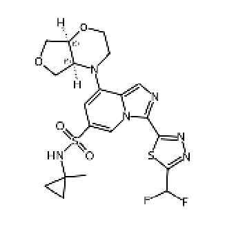 CC1(NS(=O)(=O)c2cc(N3CCO[C@@H]4COC[C@@H]43)c3cnc(-c4nnc(C(F)F)s4)n3c2)CC1